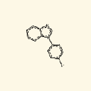 Brc1ccc(-n2[c]nc3ccccc32)nc1